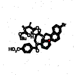 COc1ccc2cc(Br)ccc2c1CN1C(=O)[C@@H](NC(=O)[C@H](C)N(C)C(=O)OC(C)(C)C)CN(C(=O)c2ccc(C(=O)O)cc2)c2ccccc21